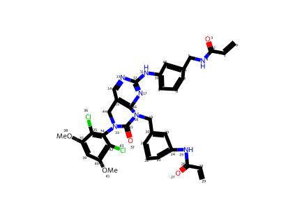 C=CC(=O)NCc1cccc(Nc2ncc3c(n2)N(Cc2cccc(NC(=O)C=C)c2)C(=O)N(c2c(Cl)c(OC)cc(OC)c2Cl)C3)c1